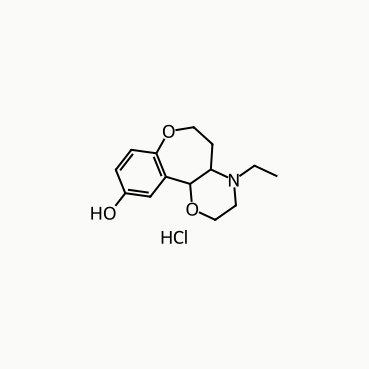 CCN1CCOC2c3cc(O)ccc3OCCC21.Cl